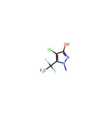 Cn1nc(O)c(Cl)c1C(F)(F)C(F)(F)F